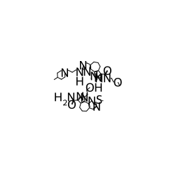 COCCNC(=O)c1nn(C)c2c1CCCc1cnc(NCCCN3CCC(C)CC3)nc1-2.CSc1ncc2c(n1)-c1c(c(C(N)=O)nn1CCO)CCC2